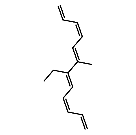 C=C\C=C/C=C(C)/C(=C/C=C\C=C)CC